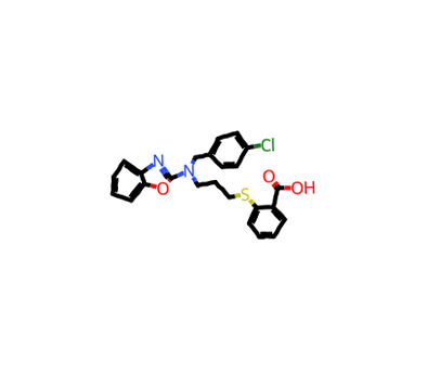 O=C(O)c1ccccc1SCCCN(Cc1ccc(Cl)cc1)c1nc2ccccc2o1